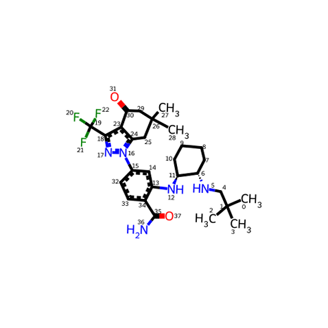 CC(C)(C)CN[C@H]1CCCC[C@@H]1Nc1cc(-n2nc(C(F)(F)F)c3c2CC(C)(C)CC3=O)ccc1C(N)=O